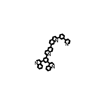 c1cncc(-c2cccc(-c3ccc4ccc(-c5ccc6nc(-c7cc(-c8ccnc9ccccc89)cc(-c8ccnc9ccccc89)c7)ccc6c5)cc4n3)c2)c1